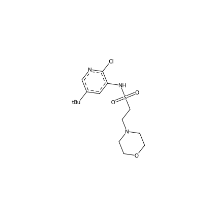 CC(C)(C)c1cnc(Cl)c(NS(=O)(=O)CCN2CCOCC2)c1